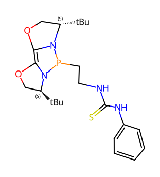 CC(C)(C)[C@H]1COC2=C3OC[C@H](C(C)(C)C)N3P(CCNC(=S)Nc3ccccc3)N21